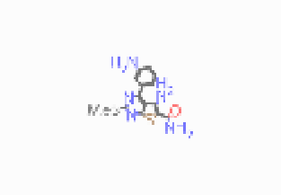 CSc1nc(-c2cccc(N)c2)c2c(N)c(C(N)=O)sc2n1